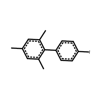 Cc1cc(C)c(-c2ccc(I)cc2)c(C)c1